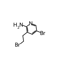 Nc1ncc(Br)cc1CCBr